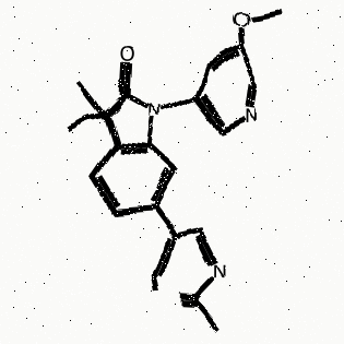 C=C(C)/N=C\C(=C/C)c1ccc2c(c1)N(c1cncc(OC)c1)C(=O)C2(C)C